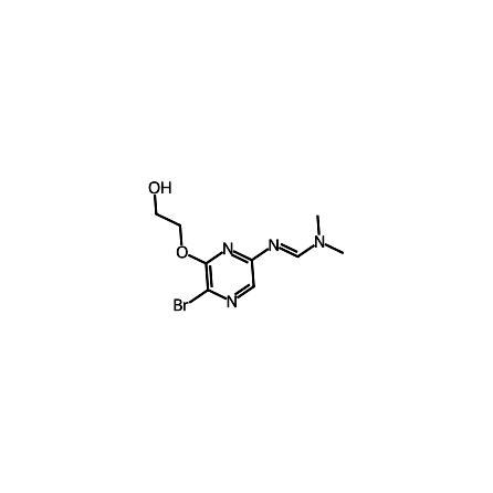 CN(C)/C=N/c1cnc(Br)c(OCCO)n1